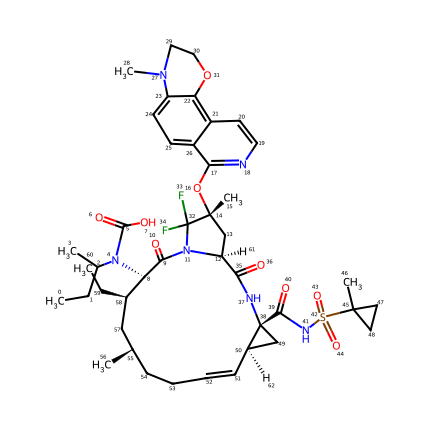 CCC(C)N(C(=O)O)[C@@H]1C(=O)N2[C@@H](C[C@@](C)(Oc3nccc4c5c(ccc34)N(C)CCO5)C2(F)F)C(=O)N[C@]2(C(=O)NS(=O)(=O)C3(C)CC3)C[C@H]2/C=C\CC[C@@H](C)C[C@H]1CC